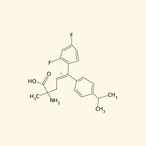 CC(C)c1ccc(/C(=C\CC(C)(N)C(=O)O)c2ccc(F)cc2F)cc1